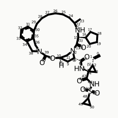 C=C[C@@H]1C[C@]1(NC(=O)[C@@H]1C[C@@H]2CN1C(=O)[C@H](C1CCCC1)NC(C)CCCCCCc1cccc3c1CN(C3)C(=O)O2)C(=O)NS(=O)(=O)C1CC1